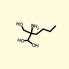 CCCCC(N)(CO)C(O)O